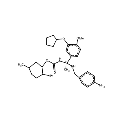 COc1ccc([C@@](C)(NCc2ccc(N)cc2)NC(=O)OC2CC(C)CCC2C(C)C)cc1OC1CCCC1